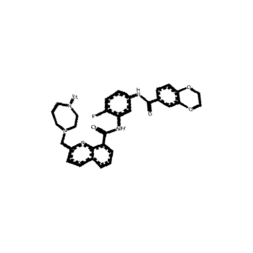 CCN1CCCN(Cc2ccc3cccc(C(=O)Nc4cc(NC(=O)c5ccc6c(c5)OCCO6)ccc4F)c3n2)CC1